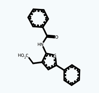 O=C(O)Cc1cc(-c2ccccc2)sc1NC(=O)c1ccccc1